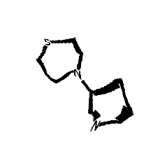 c1cncc(N2CCSCC2)c1